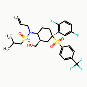 C=CCN([C@H]1CC[C@@](c2cc(F)ccc2F)(S(=O)(=O)c2ccc(C(F)(F)F)cc2)C[C@H]1CO)S(=O)(=O)CC(C)C